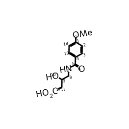 COc1ccc(C(=O)NCC(O)CC(=O)O)cc1